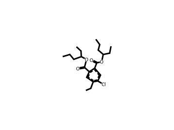 CCCC(CC)OC(=O)c1cc(Cl)c(CC)cc1C(=O)OC(CC)CCC